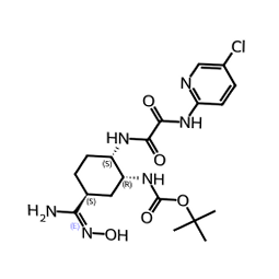 CC(C)(C)OC(=O)N[C@@H]1C[C@@H](/C(N)=N\O)CC[C@@H]1NC(=O)C(=O)Nc1ccc(Cl)cn1